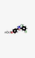 CCCCCCCCOc1ccc(-c2nnc(-c3cc(Cl)ccc3Cl)o2)cc1